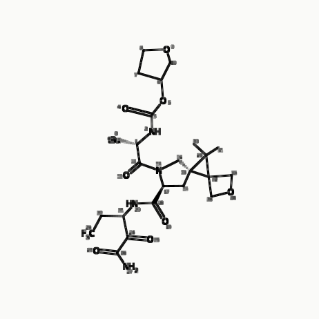 CC(C)(C)[C@H](NC(=O)OC1CCOC1)C(=O)N1C[C@]2(C[C@H]1C(=O)NC(CC(F)(F)F)C(=O)C(N)=O)C(C)(C)C21COC1